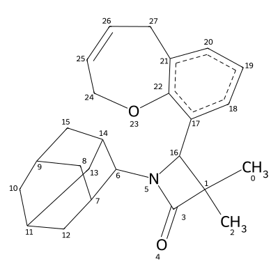 CC1(C)C(=O)N(C2C3CC4CC(C3)CC2C4)C1c1cccc2c1OCC=CC2